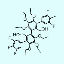 CCOc1c(OCC)c(-c2cc(F)c(F)c(F)c2)c(CO)c(-c2c(CO)c(-c3cc(F)c(F)c(F)c3)c(OCC)c(OCC)c2OCC)c1OCC